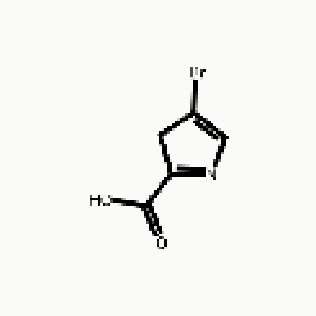 O=C(O)C1=NC=C(Br)C1